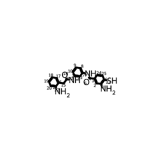 Nc1cc(C(=O)Nc2cccc(NC(=O)Cc3ccccc3N)c2)ccc1S